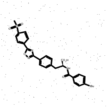 CC(C)(C)c1ccc(C(=O)N[C@@H](Cc2ccc(-c3noc(-c4ccc(S(C)(=O)=O)cc4)n3)cc2)C(=O)O)cc1